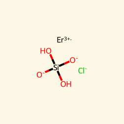 [Cl-].[Er+3].[O-][Si]([O-])(O)O